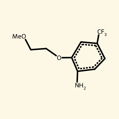 COCCOc1cc(C(F)(F)F)ccc1N